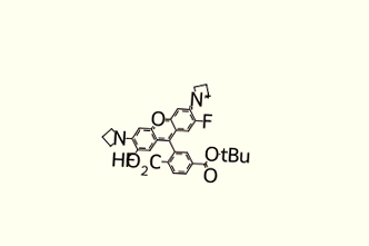 CC(C)(C)OC(=O)c1ccc(C(=O)O)c(-c2c3cc(F)c(=[N+]4CCC4)cc-3oc3cc(N4CCC4)c(F)cc23)c1